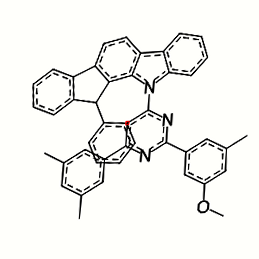 COc1cc(C)cc(-c2nc(-c3cc(C)cc(C)c3)cc(-n3c4ccccc4c4ccc5c(c43)C(c3ccccc3)c3ccccc3-5)n2)c1